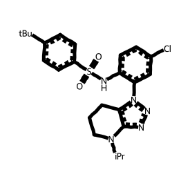 CC(C)N1CCCc2c1nnn2-c1cc(Cl)ccc1NS(=O)(=O)c1ccc(C(C)(C)C)cc1